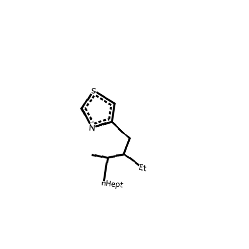 CCCCCCCC(C)C(CC)Cc1cscn1